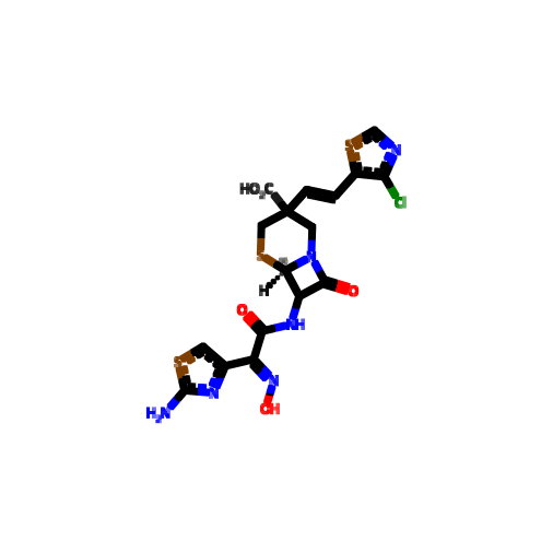 Nc1nc(C(=NO)C(=O)NC2C(=O)N3CC(C=Cc4scnc4Cl)(C(=O)O)CS[C@H]23)cs1